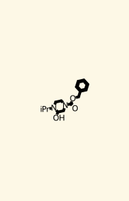 CC(C)N1CCN(C(=O)OCc2ccccc2)CC1O